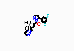 C=C(CCCn1nccc1C)C(=O)N1N=CCC1c1cc(F)cc(F)c1